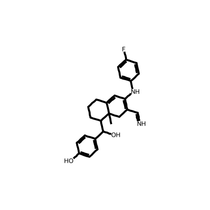 CC12CC(C=N)=C(Nc3ccc(F)cc3)C=C1CCCC2C(O)c1ccc(O)cc1